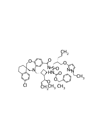 C=CC[C@H](COc1ccn(CC)n1)C[S@@](=O)(=NC(=O)c1ccc2c(c1)N(C[C@@H]1CC[C@H]1[C@H](C=C)OC)C[C@@]1(CCCc3cc(Cl)ccc31)CO2)NC(=O)O[C@@H](C)c1ccccc1